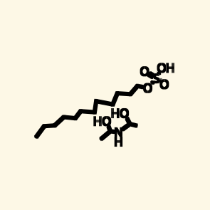 CC(O)NC(C)O.CCCCCCCCCCCCOS(=O)(=O)O